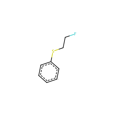 FCCSc1c[c]ccc1